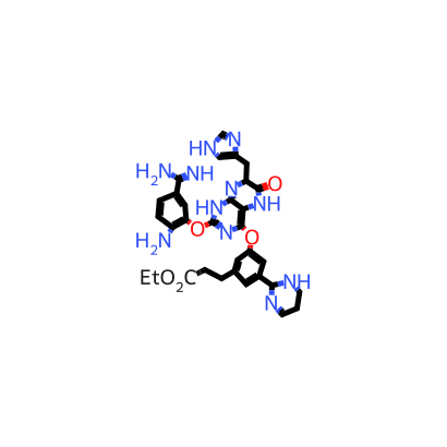 CCOC(=O)CCc1cc(OC2=C3NC(=O)C(Cc4c[nH]cn4)N=C3NC(Oc3cc(C(=N)N)ccc3N)=N2)cc(C2N=CCCN2)c1